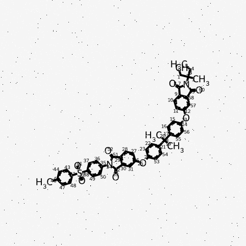 CCC(C)(CC)N1C(=O)c2ccc(Oc3ccc(C(C)(C)c4ccc(Oc5ccc6c(c5)C(=O)N(c5ccc(S(=O)(=O)c7ccc(C)cc7)cc5)C6=O)cc4)cc3)cc2C1=O